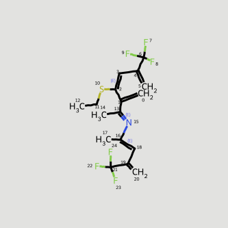 C=C(/C(=C\C(=C)C(F)(F)F)SCC)/C(C)=N/C(C)=C/C(=C)C(F)(F)F